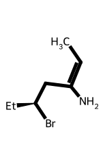 C/C=C(/N)C[C@@H](Br)CC